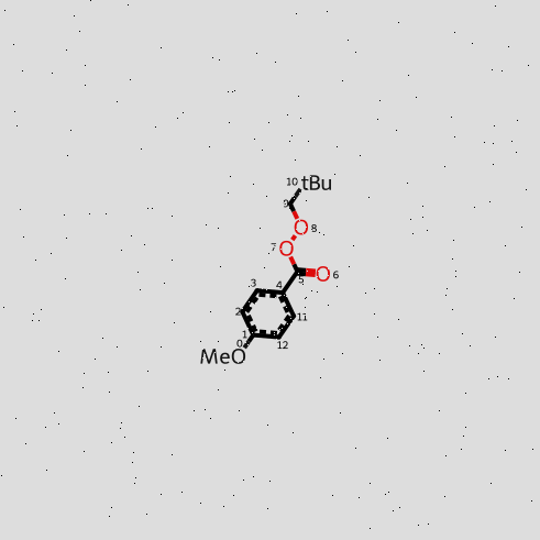 COc1ccc(C(=O)OO[CH]C(C)(C)C)cc1